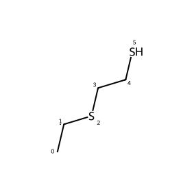 C[CH]SCCS